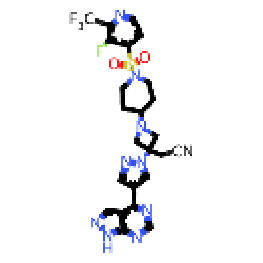 N#CCC1(n2cc(-c3ncnc4[nH]ncc34)cn2)CN(C2CCN(S(=O)(=O)c3ccnc(C(F)(F)F)c3F)CC2)C1